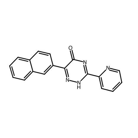 O=c1nc(-c2ccccn2)[nH]nc1-c1ccc2ccccc2c1